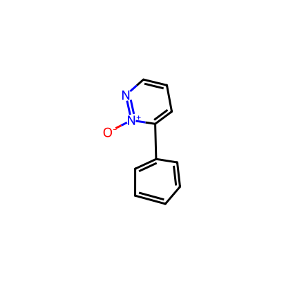 [O-][n+]1ncccc1-c1ccccc1